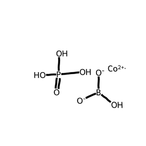 O=P(O)(O)O.[Co+2].[O-]B([O-])O